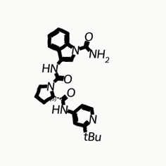 CC(C)(C)c1cc(NC(=O)[C@@H]2CCCN2C(=O)Nc2cn(C(N)=O)c3ccccc23)ccn1